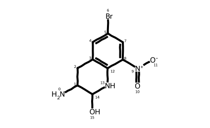 NC1Cc2cc(Br)cc([N+](=O)[O-])c2NC1O